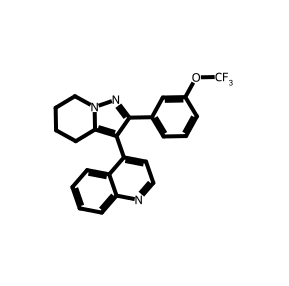 FC(F)(F)Oc1cccc(-c2nn3c(c2-c2ccnc4ccccc24)CCCC3)c1